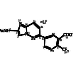 CC(=O)Nc1cn2nc(-c3cnc(C(F)(F)F)c(C(=O)[O-])c3)ccc2n1.[Li+]